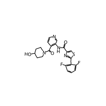 O=C(Nc1cnccc1C(=O)N1CCC(O)CC1)c1csc(-c2c(F)cccc2F)n1